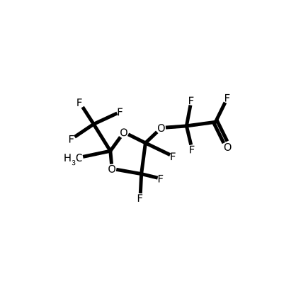 CC1(C(F)(F)F)OC(F)(F)C(F)(OC(F)(F)C(=O)F)O1